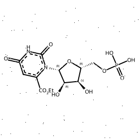 CCOC(=O)c1cc(=O)[nH]c(=O)n1[C@@H]1O[C@H](COP(=O)(O)O)[C@@H](O)[C@H]1O